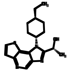 CC[C@H]1CC[C@H](n2c([C@@H](C)O)nc3cnc4ccsc4c32)CC1